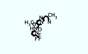 COc1cc2nc(CC(C)C#N)cn2cc1C(=O)Nc1cccc(C(F)(F)F)n1